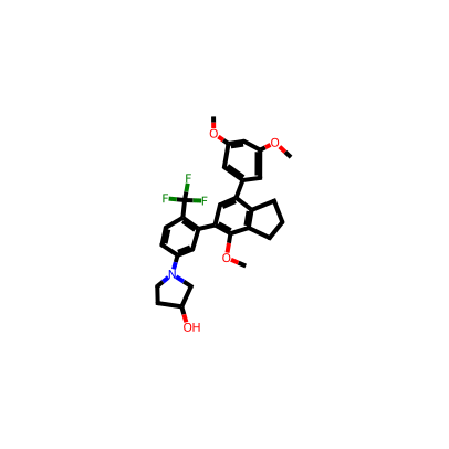 COc1cc(OC)cc(-c2cc(-c3cc(N4CCC(O)C4)ccc3C(F)(F)F)c(OC)c3c2CCC3)c1